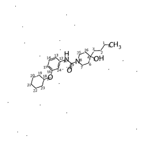 CCCCC1(O)CCN(C(=O)Nc2cccc(OC3CCCCC3)c2)CC1